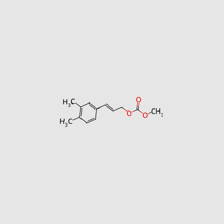 COC(=O)OCC=Cc1ccc(C)c(C)c1